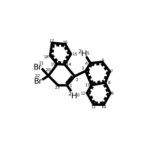 [2H]C1=C(c2c([2H])ccc3ccccc23)c2ccccc2C(Br)(Br)C1